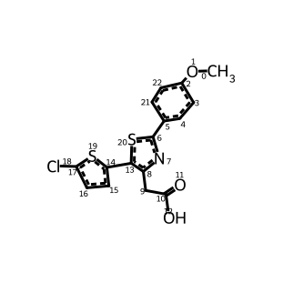 COc1ccc(-c2nc(CC(=O)O)c(-c3ccc(Cl)s3)s2)cc1